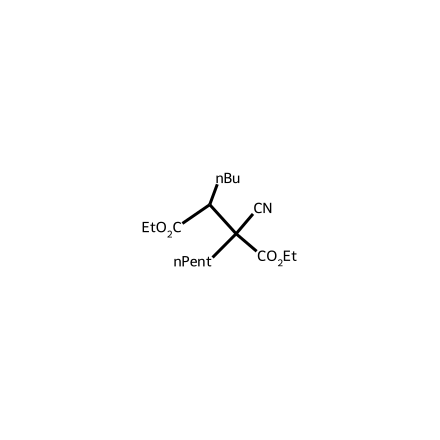 CCCCCC(C#N)(C(=O)OCC)C(CCCC)C(=O)OCC